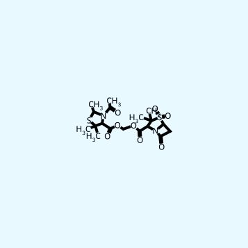 CC(=O)N1C(C)SC(C)(C)C1C(=O)OCOC(=O)C1N2C(=O)CC2S(=O)(=O)C1(C)C